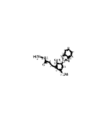 CC(C)(C)c1cc(CCC(=O)NN)c(O)c(-n2nc3ccccc3n2)c1